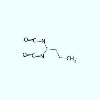 [CH2]CC[C](N=C=O)N=C=O